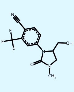 CN1CC(CO)N(c2ccc(C#N)c(C(F)(F)F)c2)C1=O